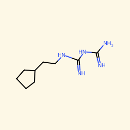 N=C(N)NC(=N)NCCC1CCCC1